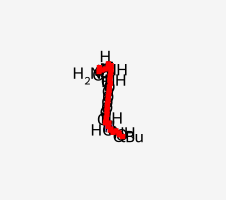 CC(C)(C)OC(=O)NCCc1ccc(O)c(/N=N/c2ccc(C(=O)NCCOCCOCCOCCOCCOCCOCCC(=O)NCCCCCNc3ccccc3NNC(=O)c3cccc(C(N)=O)c3)cc2)c1